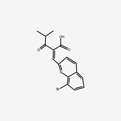 CC(C)C(=O)/C(=C/c1ccc2cccc(Br)c2n1)C(=O)O